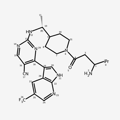 CC(C)C(N)CC(=O)N1CCC([C@@H](C)Nc2ncc(C#N)c(-c3c[nH]c4ncc(C(F)(F)F)cc34)n2)CC1